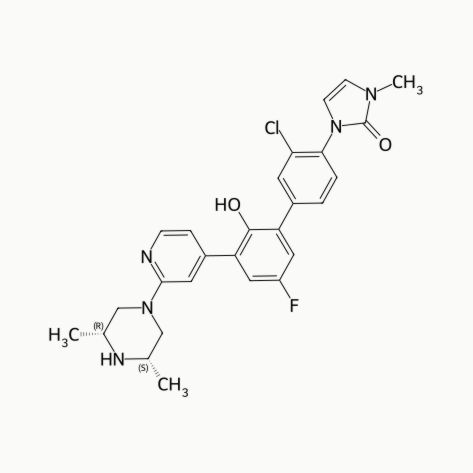 C[C@@H]1CN(c2cc(-c3cc(F)cc(-c4ccc(-n5ccn(C)c5=O)c(Cl)c4)c3O)ccn2)C[C@H](C)N1